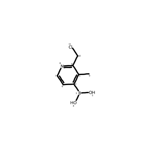 Cc1c(B(O)O)ccnc1CCl